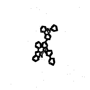 c1ccc(-c2ccc3c4cc(-c5ccc6c(c5)c5ccccc5n6-c5ccccc5)ccc4n(-c4nc5ccccc5cc4-c4ccccc4)c3c2)cc1